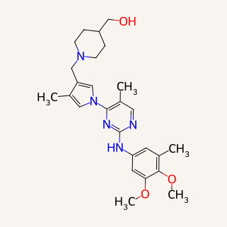 COc1cc(Nc2ncc(C)c(-n3cc(C)c(CN4CCC(CO)CC4)c3)n2)cc(C)c1OC